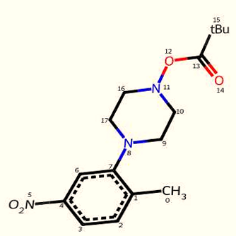 Cc1ccc([N+](=O)[O-])cc1N1CCN(OC(=O)C(C)(C)C)CC1